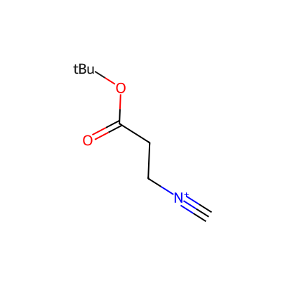 C#[N+]CCC(=O)OC(C)(C)C